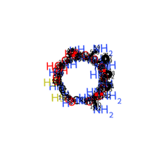 C[C@@H]1NNCC(=O)C(=O)[C@H](CS)NCCN[C@@H](CS)C(=O)C(=O)[C@H](CO)NC(=O)[C@H]([C@@H](C)O)NC(=O)[C@H](Cc2ccccc2)NC(=O)[C@H]([C@@H](C)O)NC(=O)[C@H](CCCCN)NC(=O)C(Cc2c[nH]c3ccccc23)NC(=O)[C@H](Cc2ccccc2)NC(=O)C(Cc2ccccc2)NC(=O)[C@H](CC(N)=O)NC(=O)C(CCCCN)NC1=O